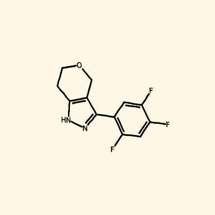 Fc1cc(F)c(-c2n[nH]c3c2COCC3)cc1F